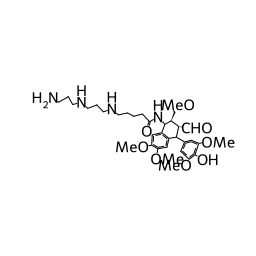 COC[C@@H]1[C@H](NC(=O)CCCCNCCCNCCCN)c2cc(OC)c(OC)cc2C(c2cc(OC)c(O)c(OC)c2)[C@H]1C=O